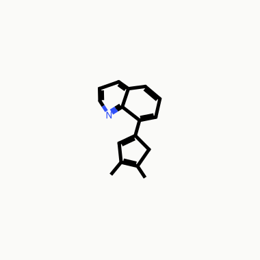 CC1=C(C)CC(c2cccc3cccnc23)=C1